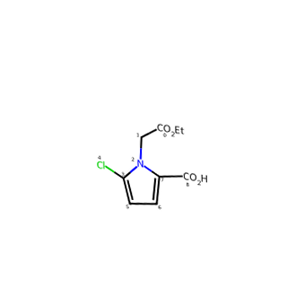 CCOC(=O)Cn1c(Cl)ccc1C(=O)O